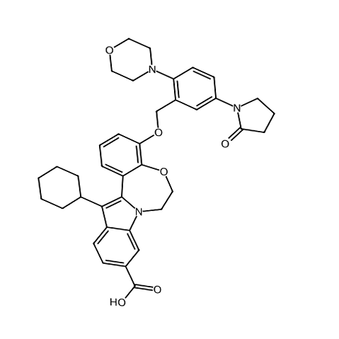 O=C(O)c1ccc2c(C3CCCCC3)c3n(c2c1)CCOc1c(OCc2cc(N4CCCC4=O)ccc2N2CCOCC2)cccc1-3